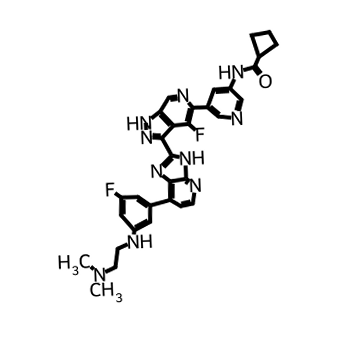 CN(C)CCNc1cc(F)cc(-c2ccnc3[nH]c(-c4n[nH]c5cnc(-c6cncc(NC(=O)C7CCC7)c6)c(F)c45)nc23)c1